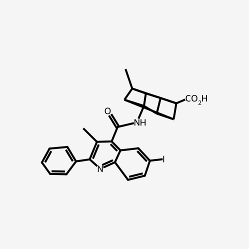 Cc1c(-c2ccccc2)nc2ccc(I)cc2c1C(=O)NC12C3C4C1C1(C)C2C3C41C(=O)O